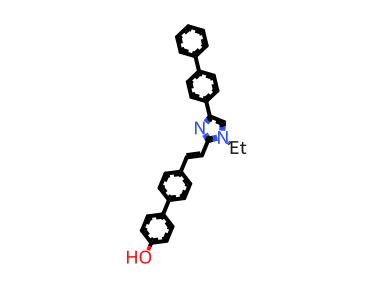 CCn1cc(-c2ccc(-c3ccccc3)cc2)nc1C=Cc1ccc(-c2ccc(O)cc2)cc1